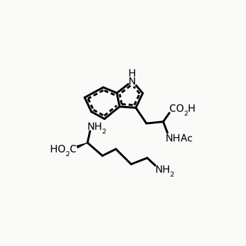 CC(=O)NC(Cc1c[nH]c2ccccc12)C(=O)O.NCCCC[C@H](N)C(=O)O